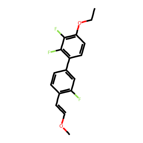 CCOc1ccc(-c2ccc(/C=C/OC)c(F)c2)c(F)c1F